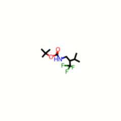 CC(C)C(CNC(=O)OC(C)(C)C)C(F)(F)F